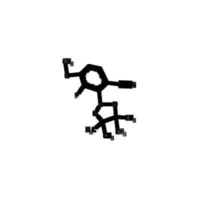 COc1ccc(C#N)c(B2OC(C)(C)C(C)(C)O2)c1F